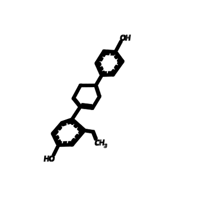 CCc1cc(O)ccc1C1=CCC(c2ccc(O)cc2)CC1